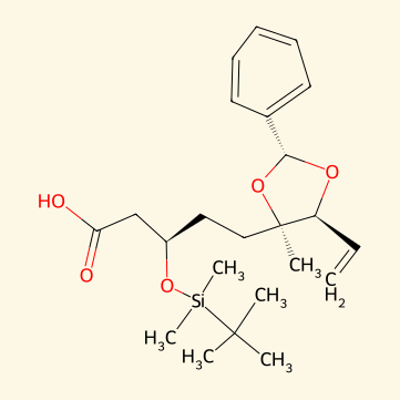 C=C[C@@H]1O[C@@H](c2ccccc2)O[C@]1(C)CC[C@H](CC(=O)O)O[Si](C)(C)C(C)(C)C